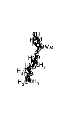 C=C1C[C@H]2C=Nc3cc(OCCCC(=O)Nc4cn(C)c(C(=O)Nc5cc(C(=O)Nc6cc(C)n(C)c6)n(C)c5)n4)c(OC)cc3C(=O)N2C1